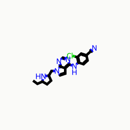 CCC1CCC(Cn2ccc3c(Nc4ccc(C#N)cc4Cl)ncnc32)N1